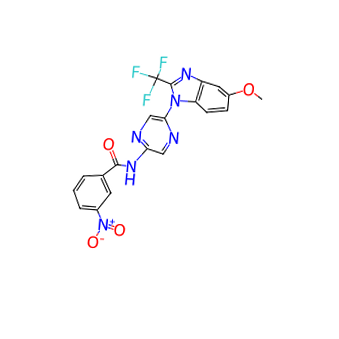 COc1ccc2c(c1)nc(C(F)(F)F)n2-c1cnc(NC(=O)c2cccc([N+](=O)[O-])c2)cn1